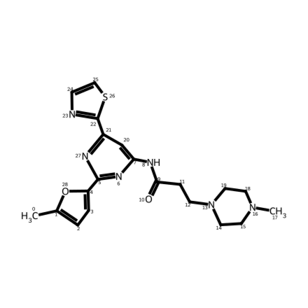 Cc1ccc(-c2nc(NC(=O)CCN3CCN(C)CC3)cc(-c3nccs3)n2)o1